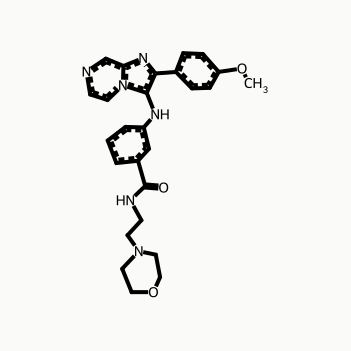 COc1ccc(-c2nc3cnccn3c2Nc2cccc(C(=O)NCCN3CCOCC3)c2)cc1